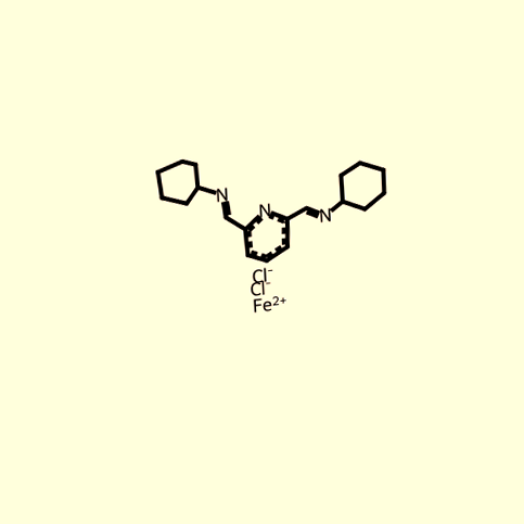 C(=NC1CCCCC1)c1cccc(C=NC2CCCCC2)n1.[Cl-].[Cl-].[Fe+2]